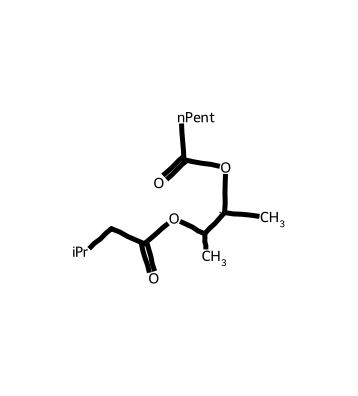 CCCCCC(=O)O[C](C)C(C)OC(=O)CC(C)C